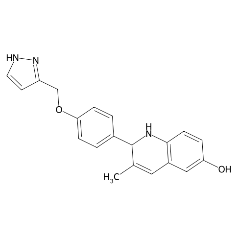 CC1=Cc2cc(O)ccc2NC1c1ccc(OCc2cc[nH]n2)cc1